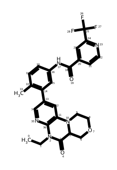 CCN1C(=O)C2COCCN2c2cc(-c3cc(NC(=O)c4ccnc(C(F)(F)F)c4)ccc3C)cnc21